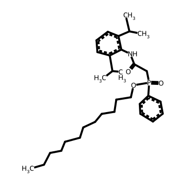 CCCCCCCCCCCCOP(=O)(CC(=O)Nc1c(C(C)C)cccc1C(C)C)c1ccccc1